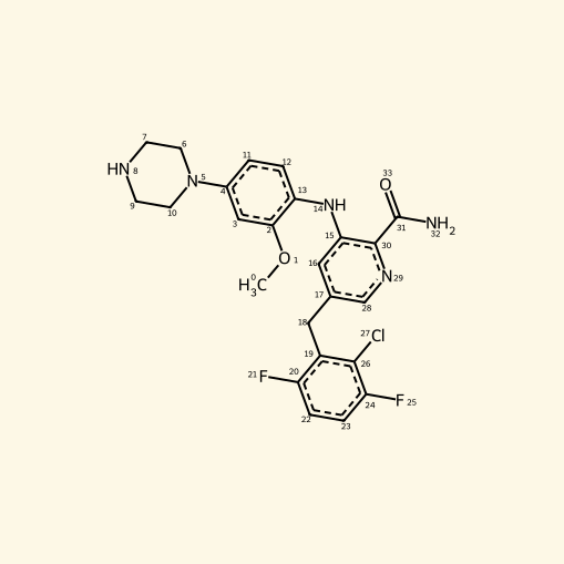 COc1cc(N2CCNCC2)ccc1Nc1cc(Cc2c(F)ccc(F)c2Cl)cnc1C(N)=O